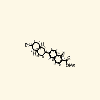 CCC1CC[C@@H]2CC(c3ccc4c(F)c(C(=O)OC)ccc4c3)CC[C@H]2C1